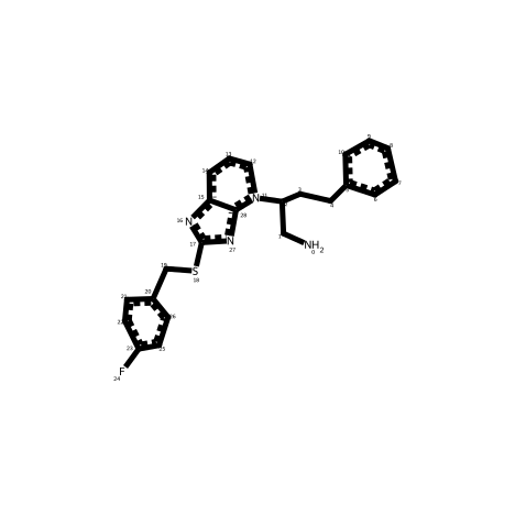 NCC(CCc1ccccc1)n1cccc2nc(SCc3ccc(F)cc3)nc1-2